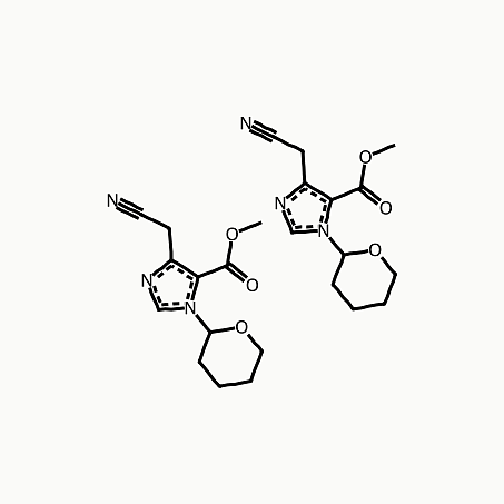 COC(=O)c1c(CC#N)ncn1C1CCCCO1.COC(=O)c1c(CC#N)ncn1C1CCCCO1